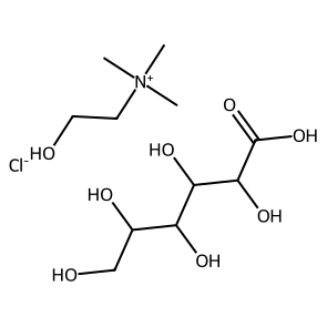 C[N+](C)(C)CCO.O=C(O)C(O)C(O)C(O)C(O)CO.[Cl-]